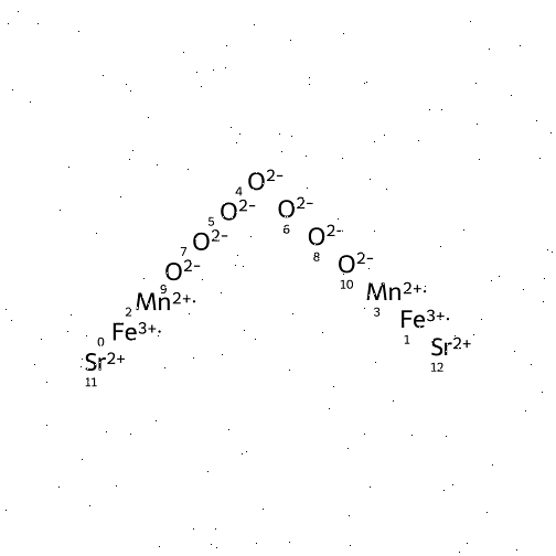 [Fe+3].[Fe+3].[Mn+2].[Mn+2].[O-2].[O-2].[O-2].[O-2].[O-2].[O-2].[O-2].[Sr+2].[Sr+2]